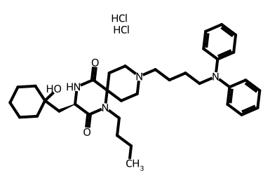 CCCCN1C(=O)[C@@H](CC2(O)CCCCC2)NC(=O)C12CCN(CCCCN(c1ccccc1)c1ccccc1)CC2.Cl.Cl